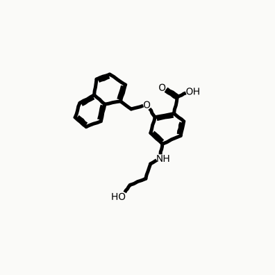 O=C(O)c1ccc(NCCCO)cc1OCc1cccc2ccccc12